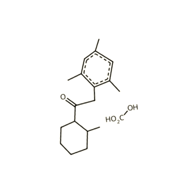 Cc1cc(C)c(CC(=O)C2CCCCC2C)c(C)c1.O=C(O)O